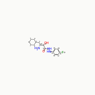 N[C@H](CC1CCCCC1)C(O)C(=O)NNc1ccc(F)cc1